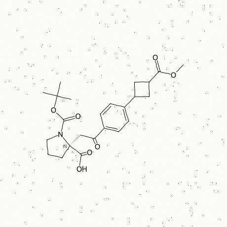 COC(=O)C1CC(c2ccc(C(=O)C[C@]3(C(=O)O)CCCN3C(=O)OC(C)(C)C)cc2)C1